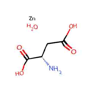 N[C@@H](CC(=O)O)C(=O)O.O.[Zn]